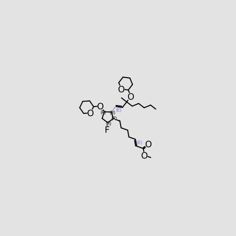 CCCCCC(C)(/C=C/[C@@H]1[C@@H](CCCC/C=C/C(=O)OC)[C@H](F)C[C@H]1OC1CCCCO1)OC1CCCCO1